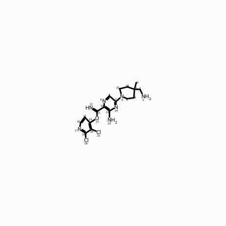 CC1(CN)CCN(c2cnc(C(=N)Oc3ccnc(Cl)c3Cl)c(N)n2)CC1